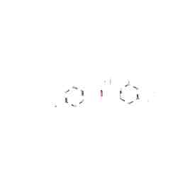 CC1(C)CCc2cc(NC(=O)[C@@H]3NCCc4c3ccc3c4OCC3)cc(F)c21